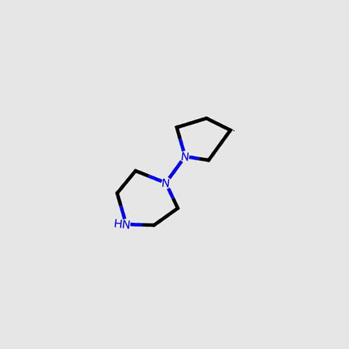 [CH]1CCN(N2CCNCC2)C1